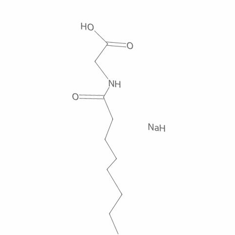 CCCCCCCC(=O)NCC(=O)O.[NaH]